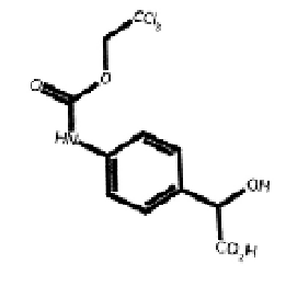 O=C(Nc1ccc(C(O)C(=O)O)cc1)OCC(Cl)(Cl)Cl